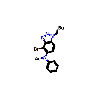 CC(=O)N(c1ccccc1)c1ccc2c(nnn2CC(C)(C)C)c1Br